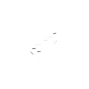 CC(C)(C)OC(=O)C(NCCCNc1nccn(CC(=O)O)c1=O)C1CC1